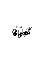 CNC(=O)c1c(F)cccc1Nc1cncc2[nH]c(Nc3cc4c(cc3OC)CCN4C(=O)CN(C)C)cc12.O